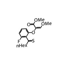 CCCCCCC(=S)c1c(F)cccc1OC(=COC)C(=O)OC